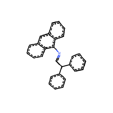 C(=Nc1c2ccccc2cc2ccccc12)C(c1ccccc1)c1ccccc1